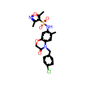 Cc1cc2c(cc1NS(=O)(=O)c1c(C)noc1C)OCC(=O)N2Cc1ccc(Cl)cc1